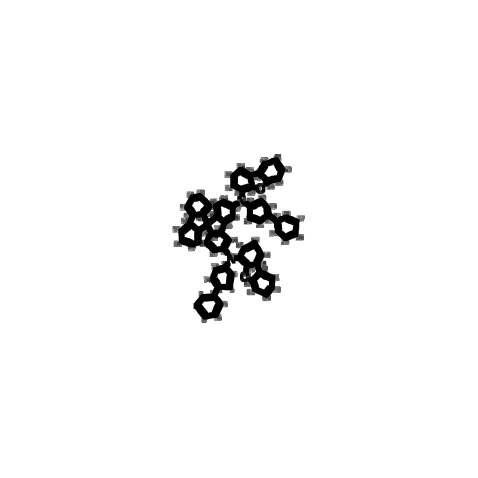 c1ccc(-c2ccc(N(c3ccc4c(c3)-c3cc(N(c5ccc(-c6ccccc6)cc5)c5cccc6c5oc5ccccc56)ccc3C43c4ccccc4-c4ccccc43)c3cccc4c3oc3ccccc34)cc2)cc1